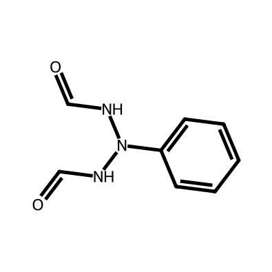 O=CNN(NC=O)c1ccccc1